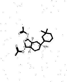 CC(=O)O[C@H]1O[C@@H](OC(C)=O)[C@@H]2CC[C@](O)(C3CCCC(C)(C)C3)C[C@H]12